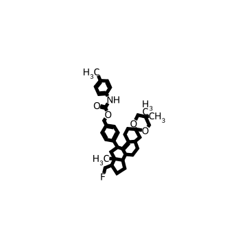 Cc1ccc(NC(=O)OCc2ccc(C3CC4(C)C(CF)CCC4C4CCC5CC6(CCC5=C34)OCC(C)(C)CO6)cc2)cc1